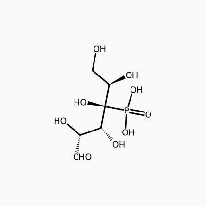 O=C[C@H](O)[C@@H](O)[C@](O)([C@H](O)CO)P(=O)(O)O